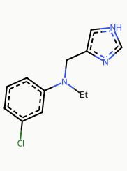 CCN(Cc1c[nH]cn1)c1cccc(Cl)c1